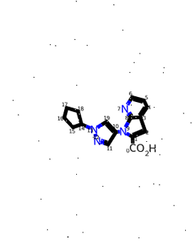 O=C(O)c1cc2cccnc2n1-c1cnn(C2CCCC2)c1